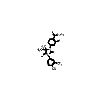 CNC(=O)C1=C(F)C=C(N2C(=S)N(c3ccc(C#N)c(C(F)(F)F)c3)C(=O)C2(C)C)CC1